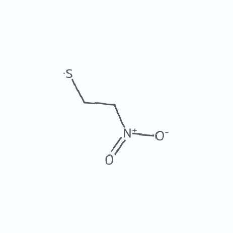 O=[N+]([O-])CC[S]